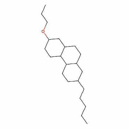 CCCCCC1CCC2C(CCC3CC(OCCC)CCC32)C1